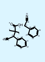 CC(C)(C(=O)O)C(C#N)c1ccccc1.N#CCc1ccccc1